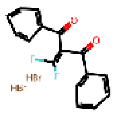 Br.Br.O=C(C(C(=O)c1ccccc1)=C(F)F)c1ccccc1